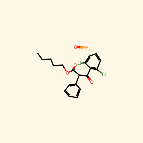 CCCCCOC(=O)C(C(=O)c1c(Cl)cccc1Cl)c1ccccc1.O=[PH3]